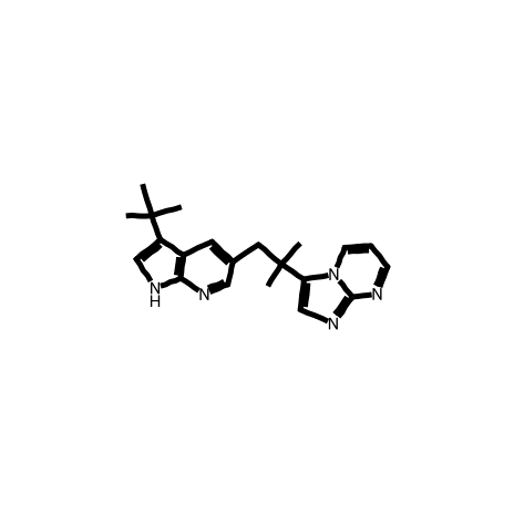 CC(C)(C)c1c[nH]c2ncc(CC(C)(C)c3cnc4ncccn34)cc12